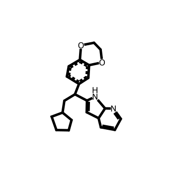 C1=CC2C=C(C(CC3CCCC3)c3ccc4c(c3)OCCO4)NC2N=C1